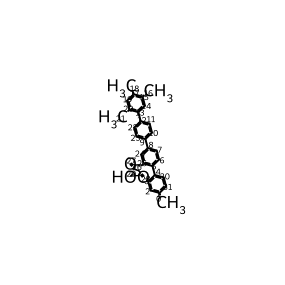 Cc1ccc(-c2ccc(-c3ccc(-c4cc(C)c(C)cc4C)cc3)cc2S(=O)(=O)O)cc1